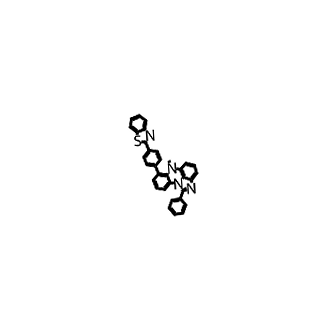 CN1c2c(-c3ccc(-c4nc5ccccc5s4)cc3)cccc2-n2c(-c3ccccc3)nc3cccc1c32